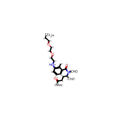 CNC(=O)CCC(C=O)N(C=O)C(=O)c1cccc(NCCOCCOCCC(=O)O)c1C